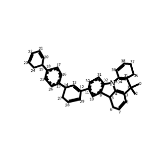 CC1(C)C2=C3C(CC=C2)c2cc(C4=CC(c5ccc(C6C=CC=CC6)cc5)CC=C4)ccc2N3C2=C1CCC=C2